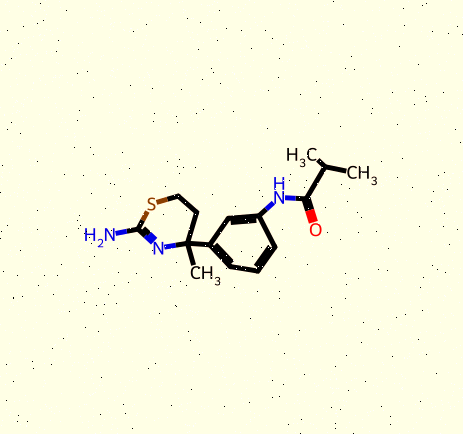 CC(C)C(=O)Nc1cccc(C2(C)CCSC(N)=N2)c1